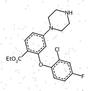 CCOC(=O)c1ccc(N2CCNCC2)cc1Oc1ccc(F)cc1Cl